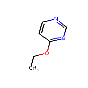 CCOc1ccncn1